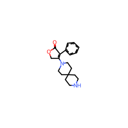 O=C1OCC(N2CCC3(CCNCC3)CC2)=C1c1ccccc1